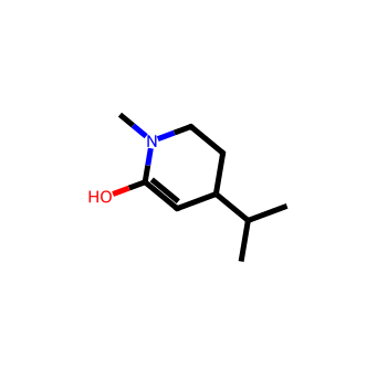 CC(C)C1C=C(O)N(C)CC1